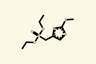 CCOP(=O)(Cc1csc(SC)n1)OCC